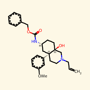 C=CCN1CC[C@@]2(c3cccc(OC)c3)C[C@H](NC(=O)OCc3ccccc3)CC[C@]2(O)C1